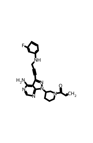 C=CC(=O)N1CCCC(n2nc(C#CCNc3cccc(F)c3)c3c(N)ncnc32)C1